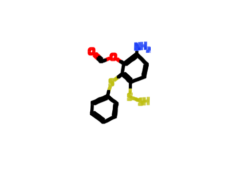 Nc1ccc(SS)c(Sc2ccccc2)c1OC=O